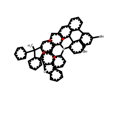 CC(C)(C)c1cc(-c2cccc3cccc(-c4ccccc4N(c4ccccc4-c4ccc5oc6ccccc6c5c4)c4ccccc4-c4cccc5c4-c4ccccc4C5(C)c4ccccc4)c23)cc(C(C)(C)C)c1